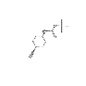 C#C[C@H]1CC[C@@H](NC(=O)OC(C)(C)C)CC1